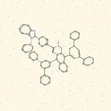 CC1Cc2c(c(-c3cc(-c4ccccc4)cc(-c4ccccc4)c3)c3ccccc3c2C2=CC(c3ccccc3)=CC(c3ccccc3)C2)C=C1c1ccc(-c2nc3ccccc3n2-c2ccccc2)cc1